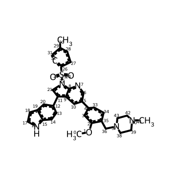 COc1cc(-c2cnc3c(c2)c(-c2ccc4[nH]ccc4c2)cn3S(=O)(=O)c2ccc(C)cc2)ccc1CN1CCN(C)CC1